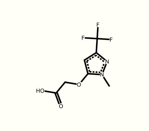 Cn1nc(C(F)(F)F)cc1OCC(=O)O